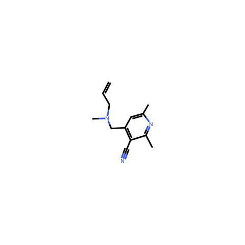 C=CCN(C)Cc1cc(C)nc(C)c1C#N